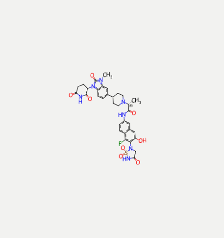 C[C@H](C(=O)Nc1ccc2c(F)c(N3CC(=O)NS3(=O)=O)c(O)cc2c1)N1CCC(c2ccc3c(c2)n(C)c(=O)n3C2CCC(=O)NC2=O)CC1